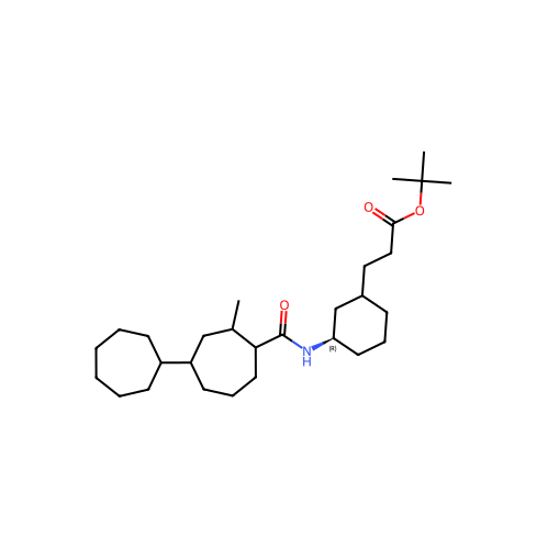 CC1CC(C2CCCCCC2)CCCC1C(=O)N[C@@H]1CCCC(CCC(=O)OC(C)(C)C)C1